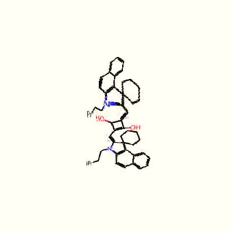 CC(C)CCN1/C(=C/C2=C(O)C(=C/C3=[N+](CCC(C)C)c4ccc5ccccc5c4C34CCCCC4)/C2O)C2(CCCCC2)c2c1ccc1ccccc21